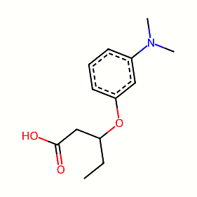 CCC(CC(=O)O)Oc1cccc(N(C)C)c1